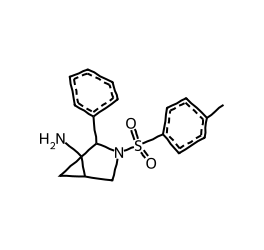 Cc1ccc(S(=O)(=O)N2CC3CC3(N)C2c2ccccc2)cc1